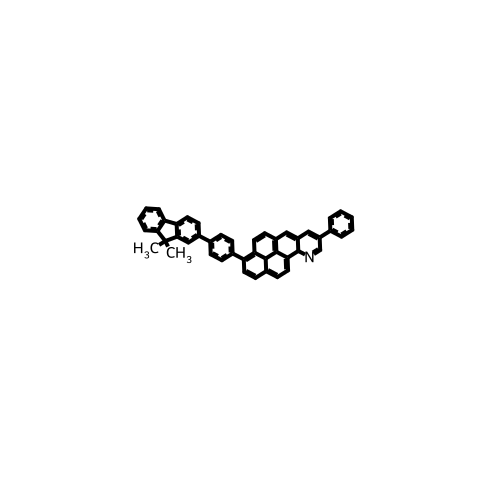 CC1(C)c2ccccc2-c2ccc(-c3ccc(C4=C5C=CC6=C7C(=CC=C(C=C4)C57)C4N=CC(c5ccccc5)=CC4=C6)cc3)cc21